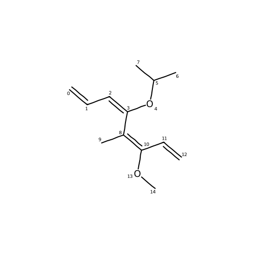 C=C/C=C(OC(C)C)\C(C)=C(/C=C)OC